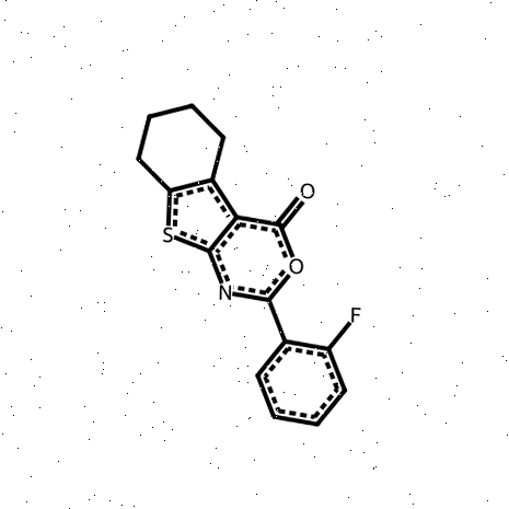 O=c1oc(-c2ccccc2F)nc2sc3c(c12)CCCC3